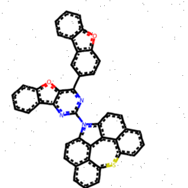 c1ccc2c(c1)oc1ccc(-c3nc(-n4c5ccc6cccc7sc8cccc9ccc4c(c98)c5c67)nc4c3oc3ccccc34)cc12